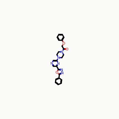 O=C(COc1ccccc1)N1CCN(c2cncc(-c3nnc(-c4ccccc4)o3)n2)CC1